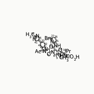 CC(=O)c1nn(CC(=O)N2C3CC3(N(C)C(=O)[C@@H](NC(=O)O)C(C)C)C[C@H]2C(=O)Nc2cccc(Br)n2)c2ccc(-c3cnc(C)nc3)cc12